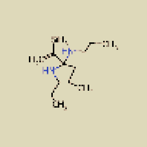 C=C([SiH3])C(CCC)(NCCC)NCCC